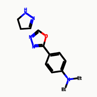 C1=NNCC1.CCN(CC)c1ccc(-c2nnco2)cc1